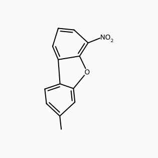 Cc1ccc2c(c1)oc1c([N+](=O)[O-])cccc12